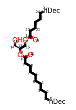 CCCCCCCCCCCCCCCCCCCC(=O)O[C@@H](CO)COC(=O)CCCCCCCCCCCCCCC